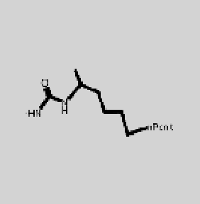 CCCCCCCCCC(C)NC([NH])=O